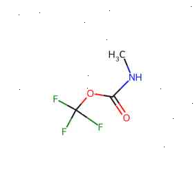 CNC(=O)OC(F)(F)F